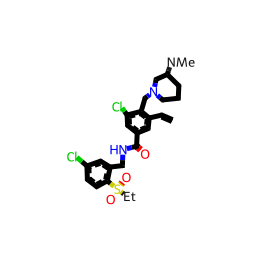 C=Cc1cc(C(=O)NCc2cc(Cl)ccc2S(=O)(=O)CC)cc(Cl)c1CN1CCCC(NC)C1